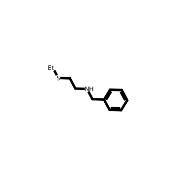 CCSCCNCc1ccccc1